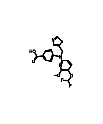 COc1nc(N(Cc2cncs2)c2ccc(C(=O)O)cc2)ccc1OC(F)F